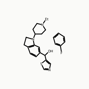 CCN1CCC(N2CCc3ccc(C(O)c4cncs4)cc32)CC1.Fc1ccccc1